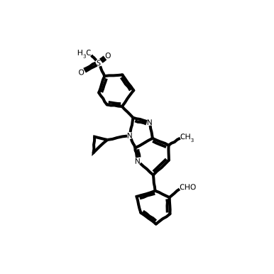 Cc1cc(-c2ccccc2C=O)nc2c1nc(-c1ccc(S(C)(=O)=O)cc1)n2C1CC1